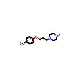 CC(=O)c1ccc(OCCCN2CCNCC2)cc1